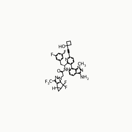 Cn1nc(N)c2cccc(-c3ccc(C#CC4(O)CCC4)nc3[C@H](Cc3cc(F)cc(F)c3)NC(=O)Cn3nc(C(F)(F)F)c4c3C(F)(F)C3C[C@H]43)c21